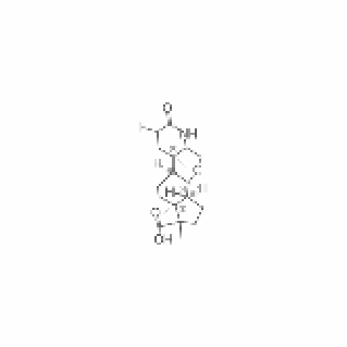 CC1(C(=O)O)CC[C@H]2[C@@H]3CCC4NC(=O)C(I)C[C@]4(C)[C@@H]3CC[C@@]21C